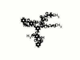 COCCOCCOCCN(CC(C)(C)SC1CC(=O)N(CCC(=O)C2CC(C)C2)C1=O)c1cc(COc2cc3c(cc2OC)C(=O)N2c4ccccc4C[C@H]2C=N3)cc(COc2cc3c(cc2OC)C(=O)N2c4ccccc4C[C@H]2CN3)c1